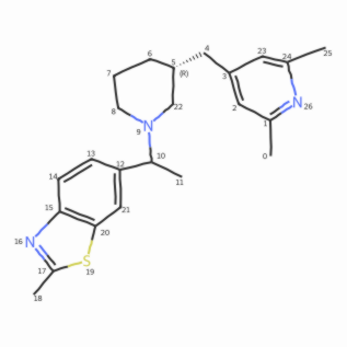 Cc1cc(C[C@H]2CCCN(C(C)c3ccc4nc(C)sc4c3)C2)cc(C)n1